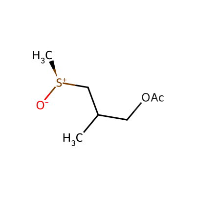 CC(=O)OCC(C)C[S@+](C)[O-]